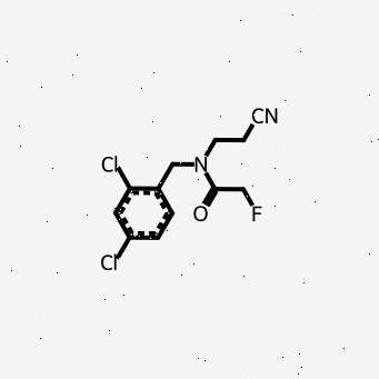 N#CCCN(Cc1ccc(Cl)cc1Cl)C(=O)CF